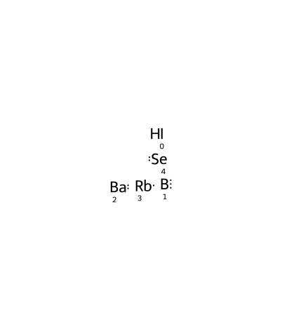 I.[B].[Ba].[Rb].[Se]